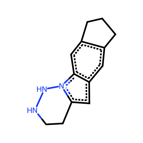 c1c2c(cc3c1cc1n3NNCC1)CCC2